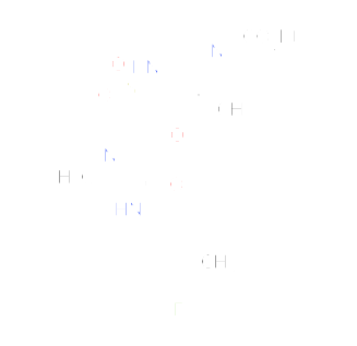 CCOC(=O)N1CC2NS(=O)(=O)c3cn(C)c(C(=O)Nc4ccc(F)c(C)c4)c3OCC2(C)C1